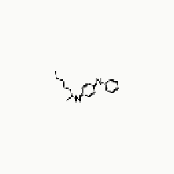 CCCCCC(C)N=C1C=CC(=Nc2ccccc2)C=C1